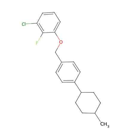 CC1CCC(c2ccc(COc3cccc(Cl)c3F)cc2)CC1